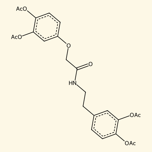 CC(=O)Oc1ccc(CCNC(=O)COc2ccc(OC(C)=O)c(OC(C)=O)c2)cc1OC(C)=O